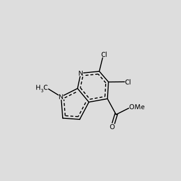 COC(=O)c1c(Cl)c(Cl)nc2c1ccn2C